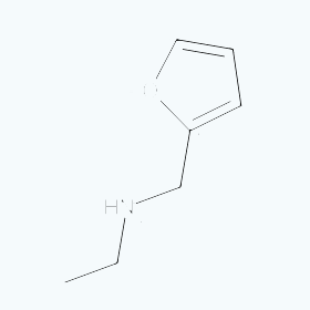 CCNCc1cc[c]o1